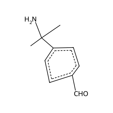 CC(C)(N)c1ccc(C=O)cc1